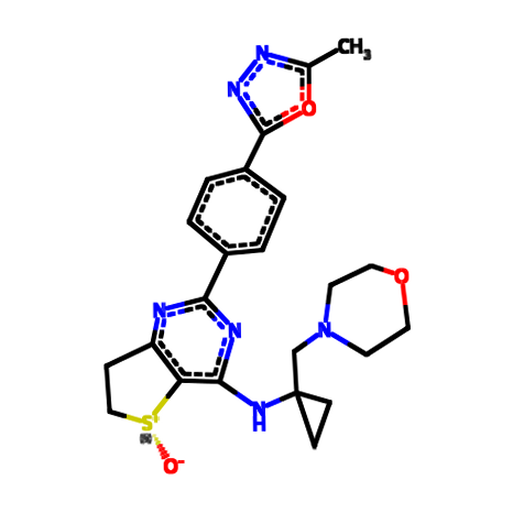 Cc1nnc(-c2ccc(-c3nc4c(c(NC5(CN6CCOCC6)CC5)n3)[S@+]([O-])CC4)cc2)o1